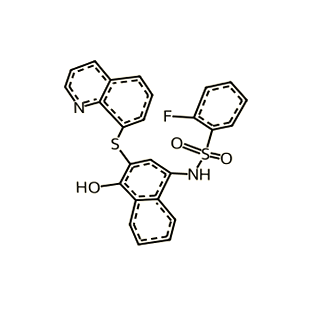 O=S(=O)(Nc1cc(Sc2cccc3cccnc23)c(O)c2ccccc12)c1ccccc1F